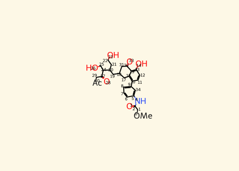 COCC(=O)Nc1cccc(-c2ccc(O)c3c2CC(CC(CCO)C(CO)C(=O)CC(C)=O)CC3=O)c1